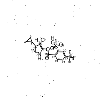 Cc1c(C2CC2)n[nH]c1OC(=O)c1ccc(C(F)(F)F)cc1S(C)(=O)=O